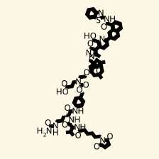 Cc1c(-c2ccc(-c3ccc4cccc(C(=O)Nc5nc6ccccc6s5)c4c3)nc2C(=O)O)cnn1CC12CC3(OCCN(CCC(=O)O)C(=O)OCc4ccc(NC(=O)[C@H](CCCNC(N)=O)NC(=O)C(NC(=O)CCCCCN5C(=O)C=CC5=O)C(C)C)cc4)CC4(C)CC(C)(C1)C2(C4)C3